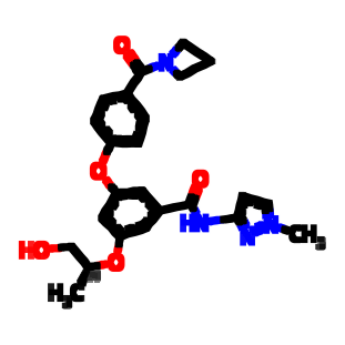 C[C@@H](CO)Oc1cc(Oc2ccc(C(=O)N3CCC3)cc2)cc(C(=O)Nc2ccn(C)n2)c1